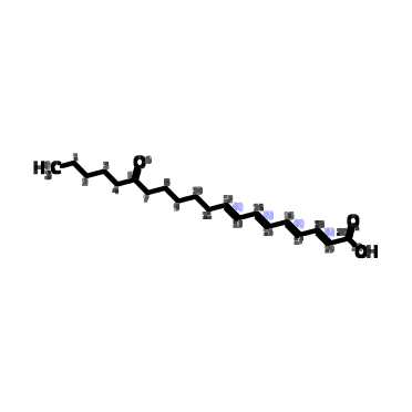 CCCCCC(=O)CCCCC/C=C/C=C/C=C/C=C/C(=O)O